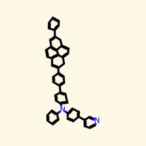 C1=C(c2ccccc2)Cc2ccc3c4c(ccc1c24)C=C(c1ccc(-c2ccc(N(c4ccccc4)c4ccc(-c5cccnc5)cc4)cc2)cc1)C3